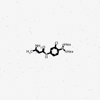 CCCCCCN(CCCCCC)c1ccc(NC(=O)/C=C(/C)N)cc1Cl